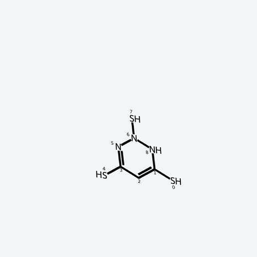 SC1=CC(S)=NN(S)N1